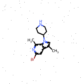 Cc1cn(C2CCNCC2)c2c(C)nc(Br)cc12